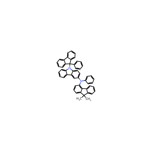 CC1(C)c2ccccc2-c2c(N(c3ccccc3)c3ccc4c(c3)c3ccccc3n4C3(c4ccccc4)c4ccccc4-c4ccccc43)cccc21